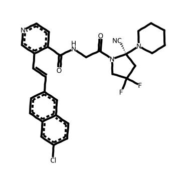 N#C[C@]1(N2CCCCC2)CC(F)(F)CN1C(=O)CNC(=O)c1ccncc1/C=C/c1ccc2cc(Cl)ccc2c1